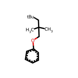 CC(C)(C)CC(C)(C)COc1ccccc1